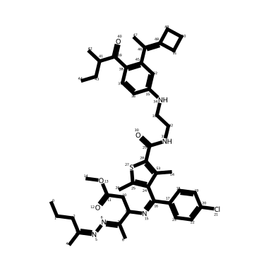 CCC/C(C)=N\N=C(/C)C(CC(=O)OC)/N=C(/c1ccc(Cl)cc1)c1c(C)sc(C(=O)NCCNc2ccc(C(=O)C(C)CC)c(C(C)=C3CCC3)c2)c1C